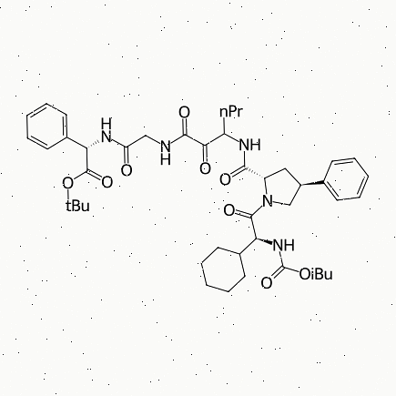 CCCC(NC(=O)[C@@H]1C[C@@H](c2ccccc2)CN1C(=O)[C@@H](NC(=O)OCC(C)C)C1CCCCC1)C(=O)C(=O)NCC(=O)N[C@H](C(=O)OC(C)(C)C)c1ccccc1